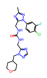 Cc1nc(CNC(=O)NCc2ncnn2CC2CCOCC2)n(-c2ccc(Cl)c(F)c2)n1